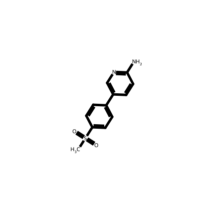 CS(=O)(=O)c1ccc(-c2ccc(N)nc2)cc1